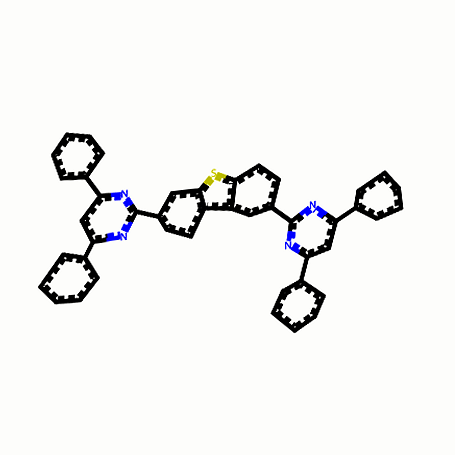 c1ccc(-c2cc(-c3ccccc3)nc(-c3ccc4c(c3)sc3ccc(-c5nc(-c6ccccc6)cc(-c6ccccc6)n5)cc34)n2)cc1